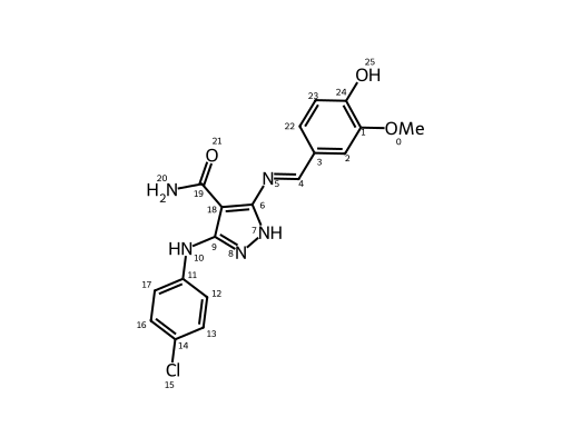 COc1cc(/C=N/c2[nH]nc(Nc3ccc(Cl)cc3)c2C(N)=O)ccc1O